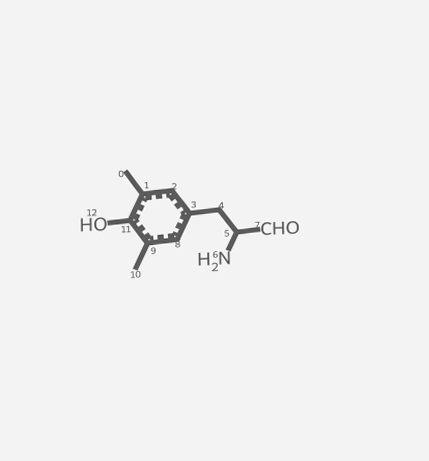 Cc1cc(CC(N)C=O)cc(C)c1O